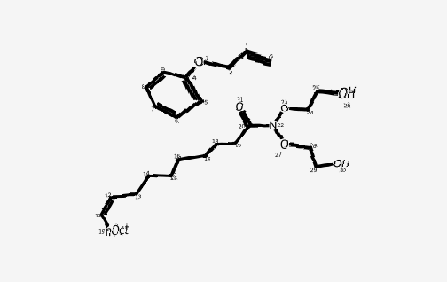 C=CCOc1ccccc1.CCCCCCCC/C=C\CCCCCCCC(=O)N(OCCO)OCCO